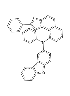 c1ccc(-c2nc3c(ccc4cccc(N(c5ccccc5)c5ccc6oc7ccccc7c6c5)c43)o2)cc1